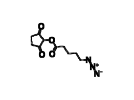 [N-]=[N+]=NCCCCC(=O)OC1C(=O)CCC1=O